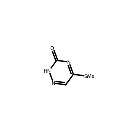 CSc1cn[nH]c(=O)n1